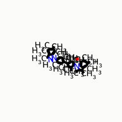 Cc1c(C)c(-n2nc(C)c3c(C)c(C)c(C)c(C)c32)c(C)c(C)c1-c1c(C)c(C)c(-n2c(C)c(C)c3c(C)c(C)c(C)c(C)c32)c(C)c1C